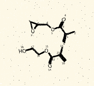 C=C(C)C(=O)OCC1CO1.C=C(C)C(=O)OCCO